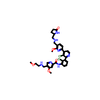 COCCNCc1cnc(C(=O)Nc2cccc(-c3nccc(-c4ccc(CNCC5CCC(=O)N5)c(OC)n4)c3Cl)c2Cl)cc1OC